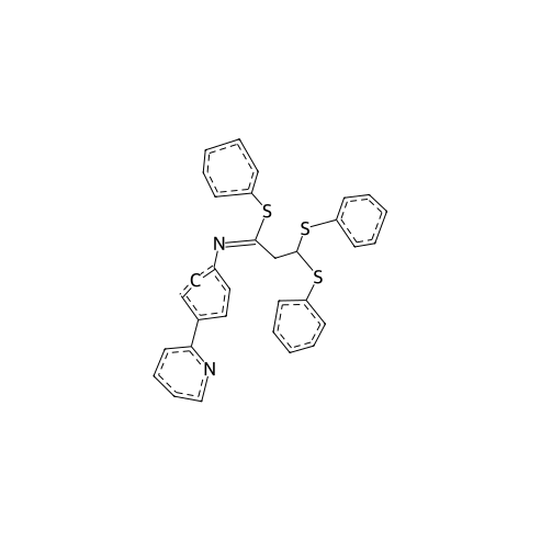 c1ccc(SC(CC(Sc2ccccc2)Sc2ccccc2)=Nc2ccc(-c3ccccn3)cc2)cc1